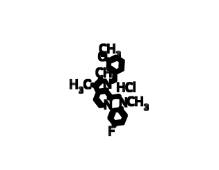 COc1cccc(Cn2c(C)c(C)c3ccnc(CN(C)c4ccc(F)cc4)c32)c1.Cl